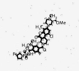 COC[C@H]1CN(c2cc(Cl)c3c4c(c(=O)oc3c2C)CN(C(=O)c2cc(N(C)C)c(C(=O)NS(=O)(=O)N3CC[C@@H](F)C3)cc2F)CC4)CCN1C